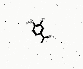 CCc1cc(C(C)N)ccc1OC